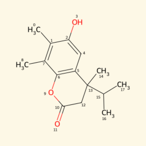 Cc1c(O)cc2c(c1C)OC(=O)CC2(C)C(C)C